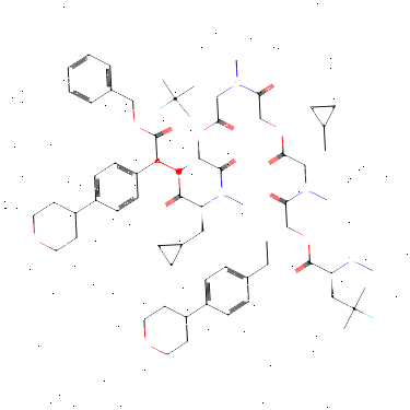 CN[C@@H](CC(C)(C)F)C(=O)O[C@H](CCc1ccc(C2CCOCC2)cc1)C(=O)N(C)[C@@H](CC1CC1)C(=O)OCC(=O)N(C)[C@@H](CC(C)(C)F)C(=O)O[C@H](CCc1ccc(C2CCOCC2)cc1)C(=O)N(C)[C@@H](CC1CC1)C(=O)OCC(=O)OCc1ccccc1